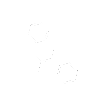 CC(C)=C(Cc1ccccc1)c1ccccc1